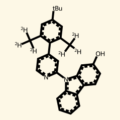 [2H]C([2H])([2H])c1cc(C(C)(C)C)cc(C([2H])([2H])[2H])c1-c1ccnc(-n2c3ccccc3c3ccc(O)cc32)c1